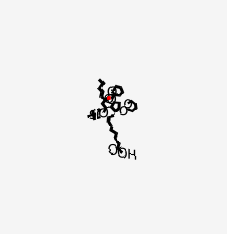 CCCCCC(=O)CC(O[Si](C)(C)C(C)(C)C)[C@@H]1[C@@H](C/C=C\CCCCCC(=O)O)[C@@H](OC2CCCCO2)C[C@H]1OC1CCCCO1